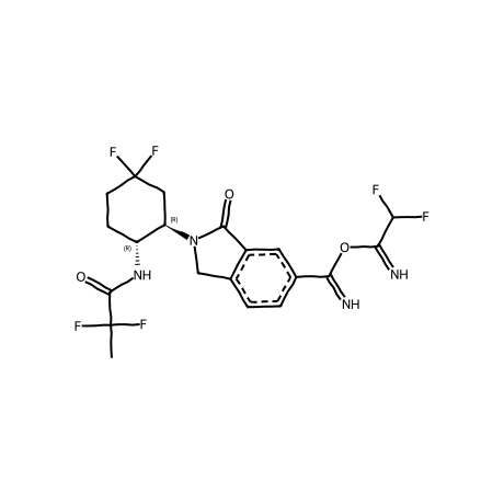 CC(F)(F)C(=O)N[C@@H]1CCC(F)(F)C[C@H]1N1Cc2ccc(C(=N)OC(=N)C(F)F)cc2C1=O